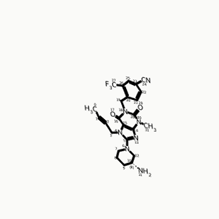 CC#CCn1c(N2CCC[C@@H](N)C2)nc2c1c(=O)n(Cc1ccc(C#N)cc1C(F)(F)F)c(=O)n2C